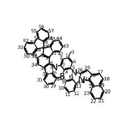 Cc1cc2c3c(c1)-n1c4c(cccc4n4c5c(ccc6ccccc65)cc14)B3c1cccc3c4ccc5c(c4n-2c13)-c1ccccc1C51c2ccccc2-c2ccccc21